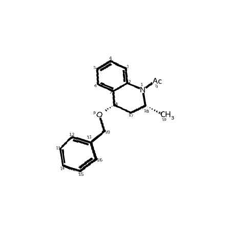 CC(=O)N1c2ccccc2[C@@H](OCc2ccccc2)C[C@H]1C